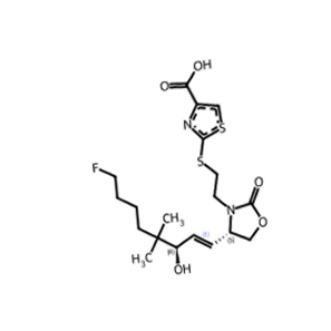 CC(C)(CCCCF)[C@H](O)/C=C/[C@H]1COC(=O)N1CCSc1nc(C(=O)O)cs1